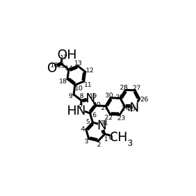 Cc1cccc(-c2[nH]c(Cc3cccc(C(=O)O)c3)nc2-c2ccc3ncccc3c2)n1